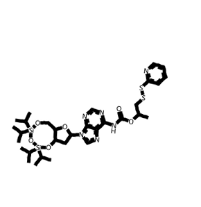 CC(CSSc1ccccn1)OC(=O)Nc1ncnc2c1ncn2C1CC2O[Si](C(C)C)(C(C)C)O[Si](C(C)C)(C(C)C)OCC2O1